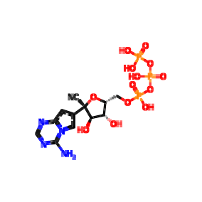 N#C[C@@]1(c2cc3ncnc(N)n3c2)O[C@H](COP(=O)(O)OP(=O)(O)OP(=O)(O)O)[C@H](O)[C@H]1O